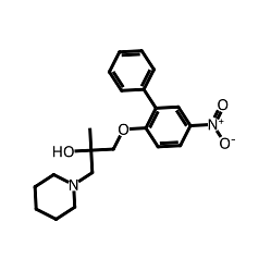 CC(O)(COc1ccc([N+](=O)[O-])cc1-c1ccccc1)CN1CCCCC1